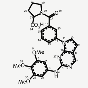 COc1cc(Nc2ncc3ccn(-c4cccc(C(=O)N5CCCC5C(=O)O)c4)c3n2)cc(OC)c1OC